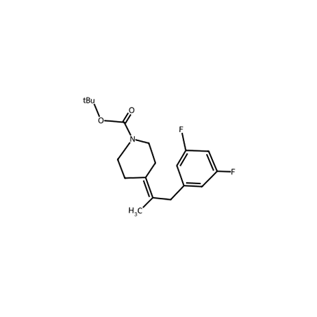 CC(Cc1cc(F)cc(F)c1)=C1CCN(C(=O)OC(C)(C)C)CC1